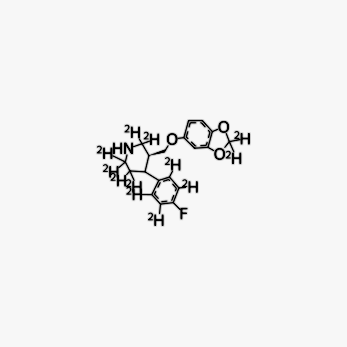 [2H]c1c([2H])c(C2[C@H](COc3ccc4c(c3)OC([2H])([2H])O4)C([2H])([2H])NC([2H])([2H])C2([2H])[2H])c([2H])c([2H])c1F